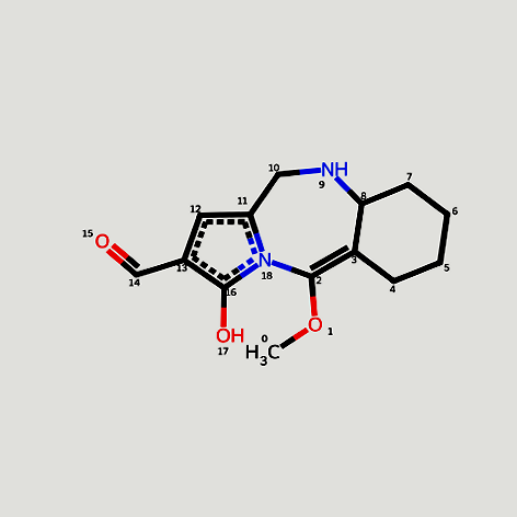 COC1=C2CCCCC2NCc2cc(C=O)c(O)n21